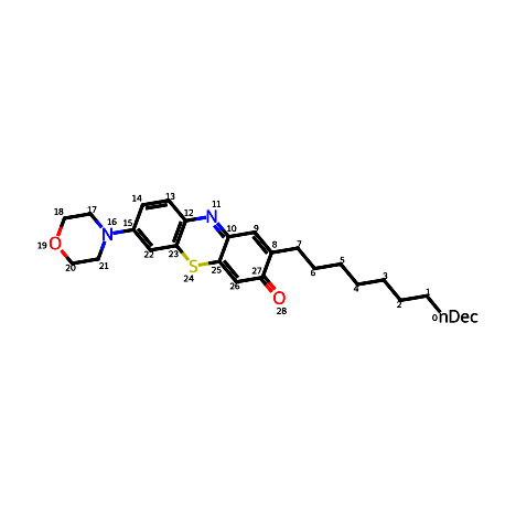 CCCCCCCCCCCCCCCCCc1cc2nc3ccc(N4CCOCC4)cc3sc-2cc1=O